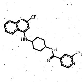 O=C(NC1CCC(Nc2cc(C(F)(F)F)nc3ccccc23)CC1)c1ccnc(C(F)(F)F)c1